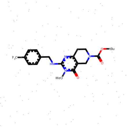 COn1c(NCc2ccc(C(F)(F)F)cc2)nc2c(c1=O)CN(C(=O)OC(C)(C)C)CC2